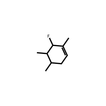 CC1=CCC(C)C(C)C1F